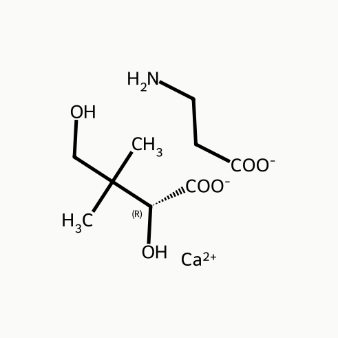 CC(C)(CO)[C@@H](O)C(=O)[O-].NCCC(=O)[O-].[Ca+2]